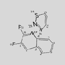 Fc1cc2ccccc2nc1F.c1csnn1